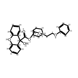 O=C(OC1C[N+]2(CCOc3ccccc3)CCC1CC2)C1(O)c2ccccc2Oc2ccccc21